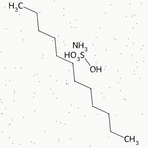 CCCCCCCCCCCC.N.O=S(=O)(O)O